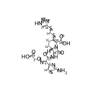 Nc1nc(/C(=N/OCC(=O)O)C(=O)N[C@@H]2C(=O)N3C(C(=O)O)=C(SCSc4c[nH]nn4)CC[C@@H]23)cs1